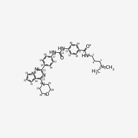 CN(C)CCCNC(=O)c1ccc(NC(=O)Nc2ccc(-c3nc(N4CCOCC4)c4cccn4n3)cc2)cc1